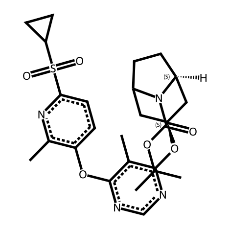 Cc1nc(S(=O)(=O)C2CC2)ccc1Oc1ncnc(O[C@H]2CC3CC[C@@H](C2)N3C(=O)OC(C)C)c1C